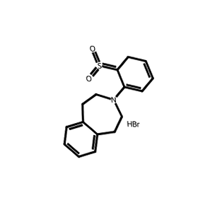 Br.O=S(=O)=C1CC=CC=C1N1CCc2ccccc2CC1